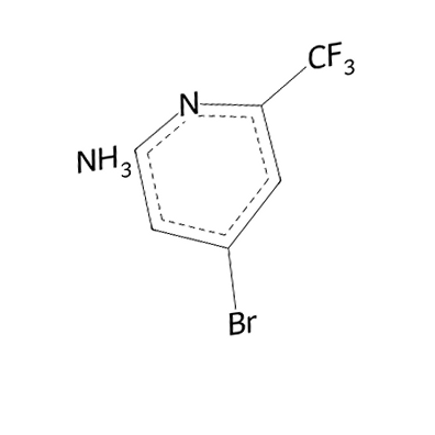 FC(F)(F)c1cc(Br)ccn1.N